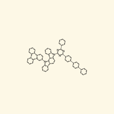 c1ccc(-c2ccc(-c3ccc(-c4nc(-c5ccccc5)nc(-n5c6ccccc6c6c5ccc5c7ccccc7n(-c7ccc8c9ccccc9c9ccccc9c8c7)c56)n4)cc3)cc2)cc1